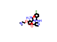 CN(C)CCOc1cccc(C(C(N)=O)N2c3c(C(=O)O)ccnc3NC2c2ccc(F)cc2)c1